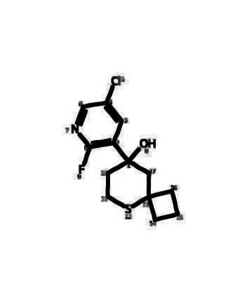 OC1(c2cc(Cl)cnc2F)CCSC2(CCC2)C1